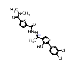 C/C(=N\NC(=O)c1ccc(C(=O)N(C)C)s1)c1csc(-c2ccc(Cl)c(Cl)c2)c1O